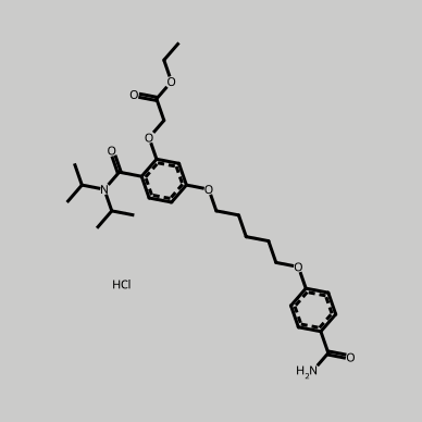 CCOC(=O)COc1cc(OCCCCCOc2ccc(C(N)=O)cc2)ccc1C(=O)N(C(C)C)C(C)C.Cl